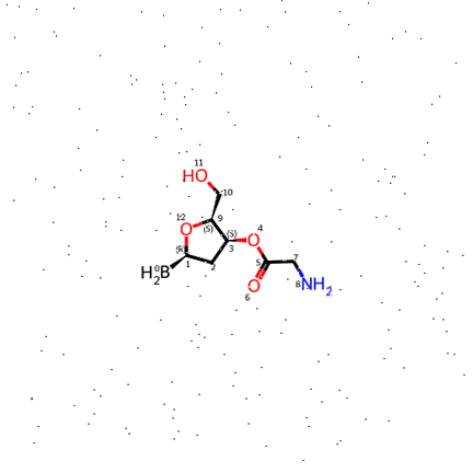 B[C@@H]1C[C@H](OC(=O)CN)[C@H](CO)O1